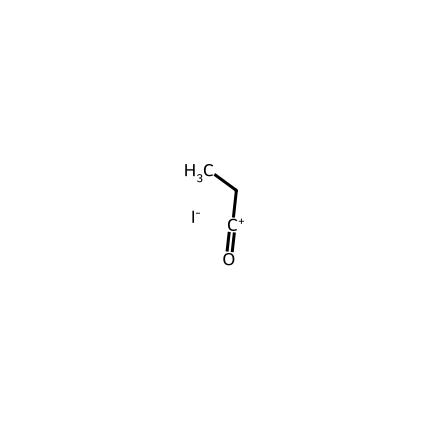 CC[C+]=O.[I-]